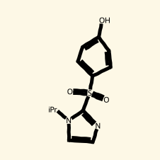 CC(C)n1ccnc1S(=O)(=O)c1ccc(O)cc1